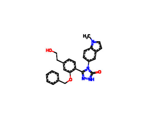 Cn1ccc2cc(-n3c(-c4ccc(CCO)cc4OCc4ccccc4)n[nH]c3=O)ccc21